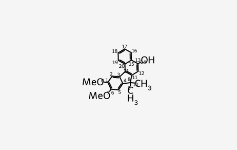 COc1cc2c(cc1OC)C(C)(C)c1cc(O)c3ccccc3c1-2